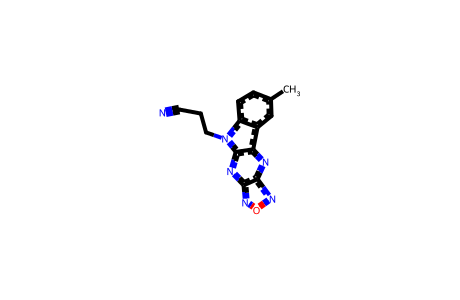 Cc1ccc2c(c1)c1nc3nonc3nc1n2CCC#N